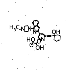 CCN1CCN(c2nc(-c3ccnc(C#CC4(O)CCCCC4)c3)cc3ccccc23)CC1.O=C(O)C(=O)O